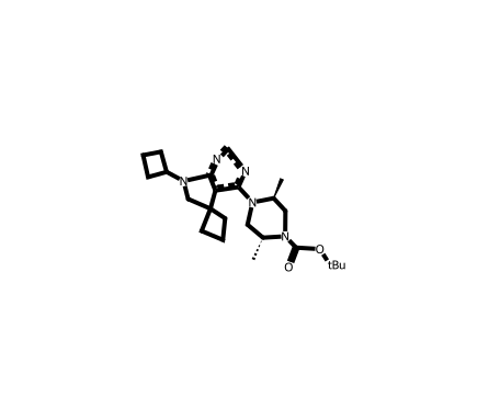 C[C@@H]1CN(c2ncnc3c2C2(CCC2)CN3C2CCC2)[C@@H](C)CN1C(=O)OC(C)(C)C